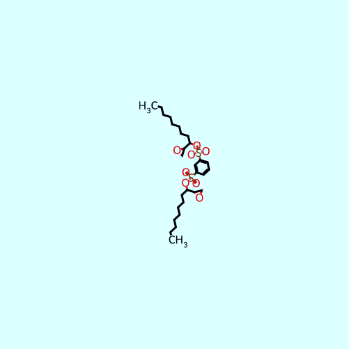 CCCCCCCCC(OS(=O)(=O)c1cccc(S(=O)(=O)OC(CCCCCCCC)C2CO2)c1)C1CO1